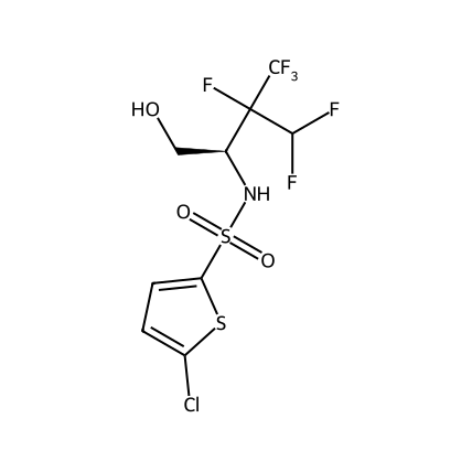 O=S(=O)(N[C@@H](CO)C(F)(C(F)F)C(F)(F)F)c1ccc(Cl)s1